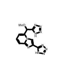 COC(c1nnn[nH]1)c1cccc2nc(-c3nnn[nH]3)cn12